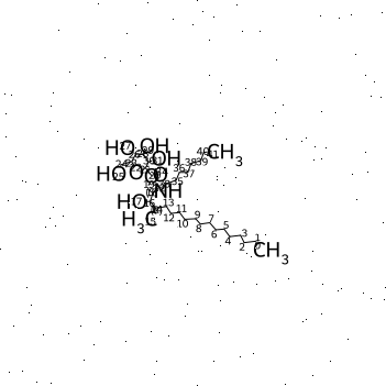 CCCCCCCCCCCCCC[C@@H](C)C(O)[C@H](COC1OC(CO)C(O)C(O)C1O)NC(=O)CCCCCCC